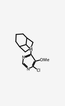 COc1c(Cl)ncnc1OC1C2CCCC1COC2